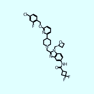 O=C(Nc1ccc2c(c1)nc(CN1CCC(c3cccc(OCc4ccc(Cl)cc4F)n3)CC1)n2C[C@@H]1CCO1)C1CC(F)(F)C1